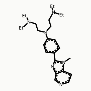 CCN(CC)CCN(CCN(CC)CC)c1ccc(-c2nc3cnccc3n2C)cc1